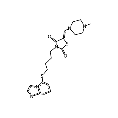 CN1CCN(/C=C2\SC(=O)N(CCCCSc3cccc4nccn34)C2=O)CC1